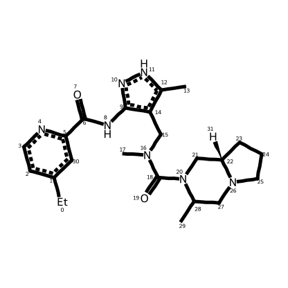 CCc1ccnc(C(=O)Nc2n[nH]c(C)c2CN(C)C(=O)N2C[C@@H]3CCCN3CC2C)c1